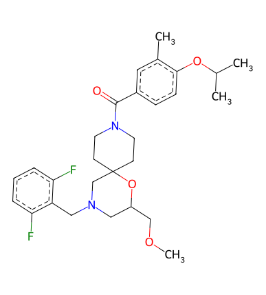 COCC1CN(Cc2c(F)cccc2F)CC2(CCN(C(=O)c3ccc(OC(C)C)c(C)c3)CC2)O1